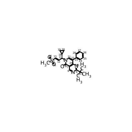 CC(C)(C)c1ncc2c(=O)n([C@@H](/C=C/S(C)(=O)=O)C3CC3)cc(-c3ccccc3)c2n1